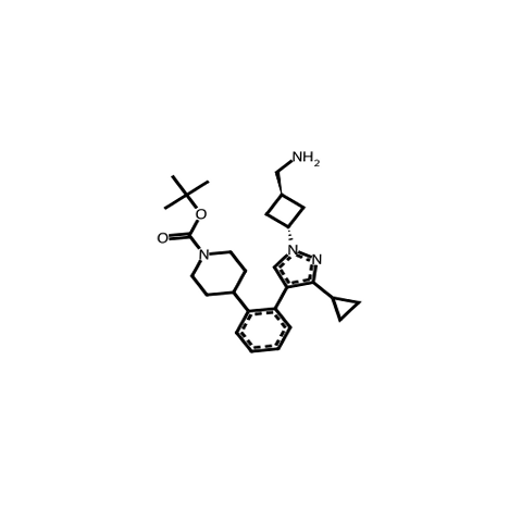 CC(C)(C)OC(=O)N1CCC(c2ccccc2-c2cn([C@H]3C[C@H](CN)C3)nc2C2CC2)CC1